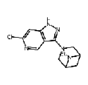 CCN1C2CC1CN(c1n[nH]c3cc(Cl)ncc13)C2